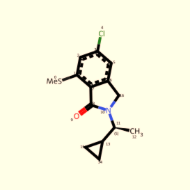 CSc1cc(Cl)cc2c1C(=O)N([C@@H](C)C1CC1)C2